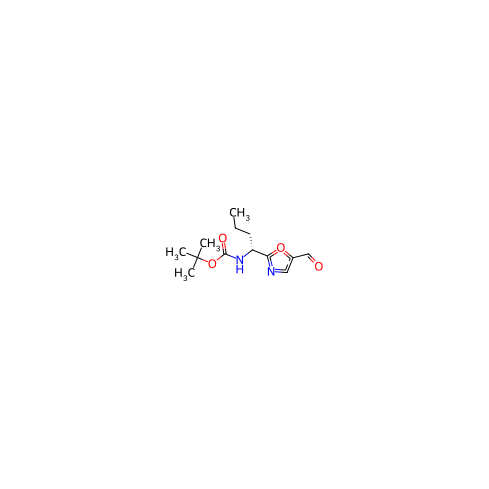 CCC[C@@H](NC(=O)OC(C)(C)C)c1ncc(C=O)o1